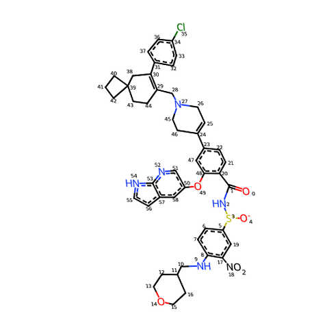 O=C(N[S+]([O-])c1ccc(NCC2CCOCC2)c([N+](=O)[O-])c1)c1ccc(C2=CCN(CC3=C(c4ccc(Cl)cc4)CC4(CCC4)CC3)CC2)cc1Oc1cnc2[nH]ccc2c1